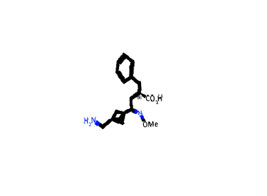 CON=C(C[C@@H](Cc1ccccc1)C(=O)O)C12CC(CN)(C1)C2